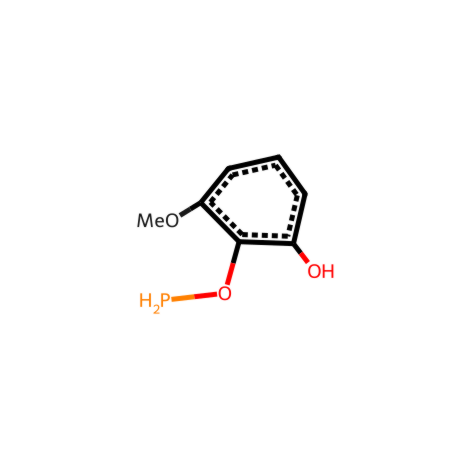 COc1cccc(O)c1OP